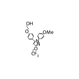 COc1ccc(-n2nc(OCC(F)(F)F)cc2-c2ccc(OCCO)cc2)cc1